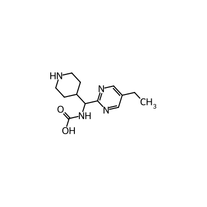 CCc1cnc(C(NC(=O)O)C2CCNCC2)nc1